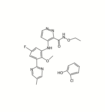 CCONC(=O)c1nnccc1Nc1cc(F)cc(-c2ncc(C)cn2)c1OC.Oc1ccccc1Cl